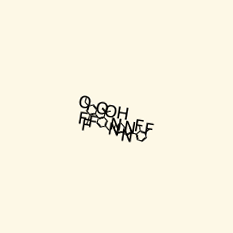 COc1ccc(-c2ccc(Cn3cc4nc(-c5cccc(F)c5F)nc-4cn3)cc2C(=O)O)c(C(F)(F)F)c1